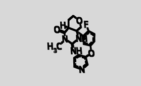 CN1C(=N)N[C@@]2(c3cc(Oc4cccnc4)ccc3F)COCC[C@H]2C1=O